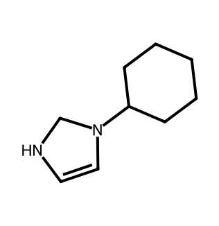 C1=CN(C2CCCCC2)CN1